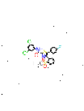 CS(=O)(=O)c1ccccc1-c1nc(C(=O)Nc2cc(Cl)cc(Cl)c2)sc1-c1ccc(F)cc1